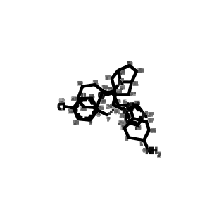 NC1CCC(N[C@H](Cc2ccc(Cl)cc2)C(=O)N2C3CCC2CC(Cn2cncn2)(C2CCCCC2)C3)CC1